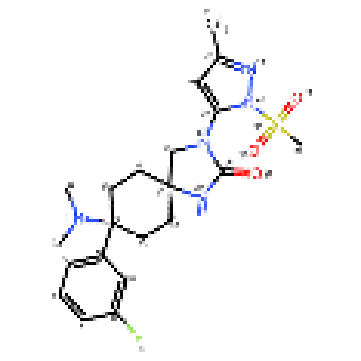 CN(C)[C@]1(c2cccc(F)c2)CC[C@@]2(CC1)CN(c1cc(C(F)(F)F)nn1S(C)(=O)=O)C(=O)N2